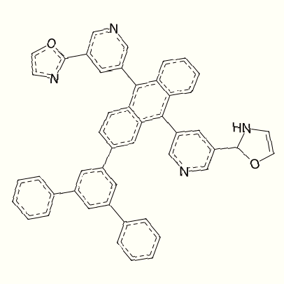 C1=COC(c2cncc(-c3c4ccccc4c(-c4cncc(-c5ncco5)c4)c4ccc(-c5cc(-c6ccccc6)cc(-c6ccccc6)c5)cc34)c2)N1